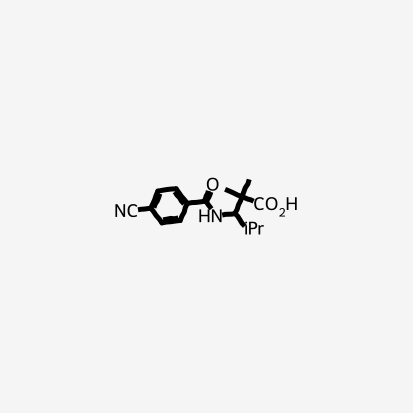 CC(C)C(NC(=O)c1ccc(C#N)cc1)C(C)(C)C(=O)O